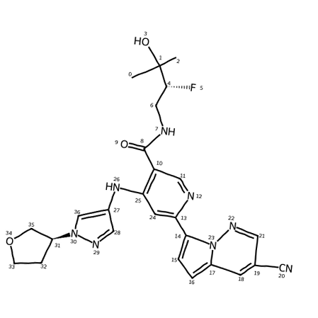 CC(C)(O)[C@H](F)CNC(=O)c1cnc(-c2ccc3cc(C#N)cnn23)cc1Nc1cnn([C@H]2CCOC2)c1